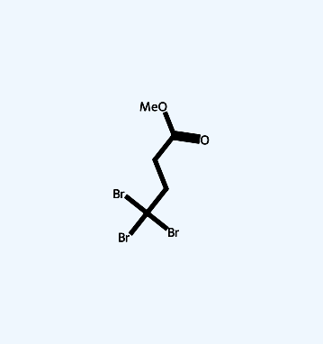 COC(=O)CCC(Br)(Br)Br